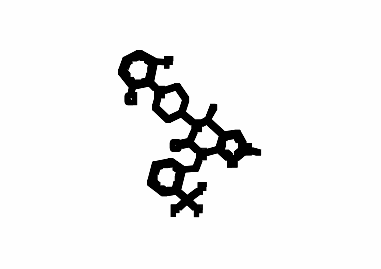 C[C@H]1c2cn(C)nc2N(Cc2ccccc2C(F)(F)F)C(=O)N1C1CCN(c2c(F)cccc2Cl)CC1